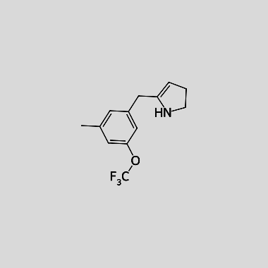 Cc1cc(CC2=CCCN2)cc(OC(F)(F)F)c1